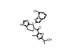 Cc1nc([C@H](C)O)oc1C(=O)N1CCc2[nH]cnc2[C@@H]1c1cc2cccc(Cl)n2n1